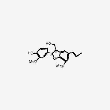 CC=Cc1cc(OC)c2c(c1)[C@H](CO)[C@H](c1ccc(O)c(OC)c1)O2